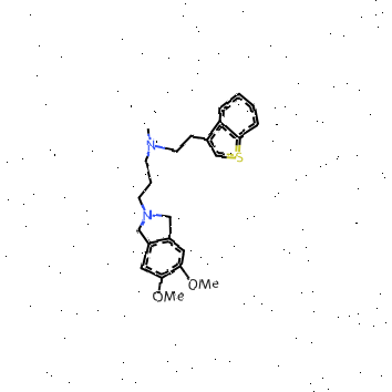 COc1cc2c(cc1OC)CN(CCCN(C)CCc1csc3ccccc13)C2